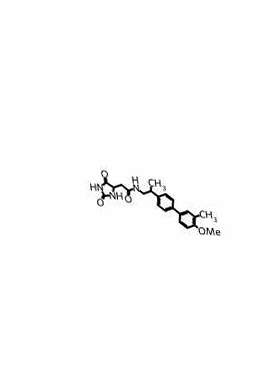 COc1ccc(-c2ccc(C(C)CNC(=O)CC3NC(=O)NC3=O)cc2)cc1C